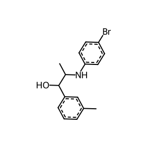 Cc1cccc(C(O)C(C)Nc2ccc(Br)cc2)c1